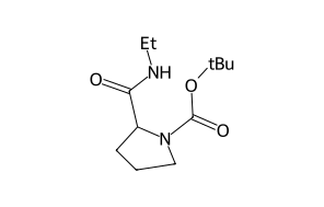 CCNC(=O)C1CCCN1C(=O)OC(C)(C)C